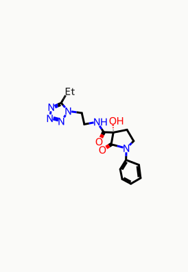 CCc1nnnn1CCNC(=O)[C@@]1(O)CCN(c2ccccc2)C1=O